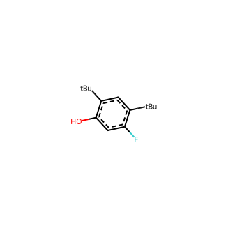 CC(C)(C)c1cc(C(C)(C)C)c(F)cc1O